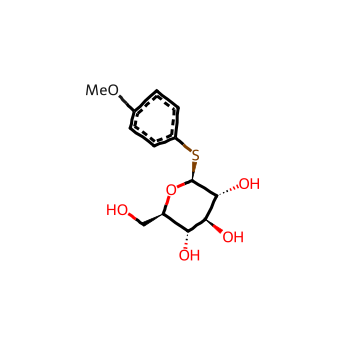 COc1ccc(S[C@@H]2O[C@H](CO)[C@@H](O)[C@H](O)[C@H]2O)cc1